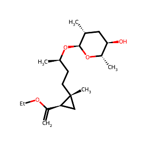 C=C(OCC)[C@@H]1C[C@@]1(C)CC[C@@H](C)O[C@@H]1O[C@@H](C)[C@H](O)C[C@H]1C